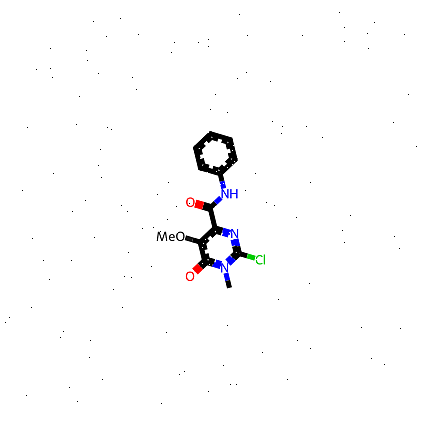 COc1c(C(=O)Nc2ccccc2)nc(Cl)n(C)c1=O